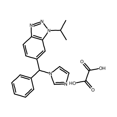 CC(C)n1nnc2ccc(C(c3ccccc3)n3ccnc3)cc21.O=C(O)C(=O)O